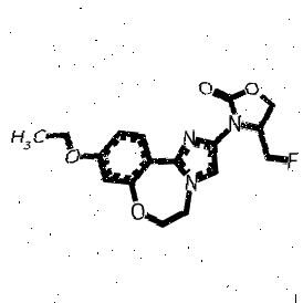 CCOc1ccc2c(c1)OCCn1cc(N3C(=O)OCC3CF)nc1-2